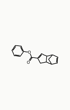 O=C(Oc1ccccc1)C1=CC2C3C=CC(C3)C2C1